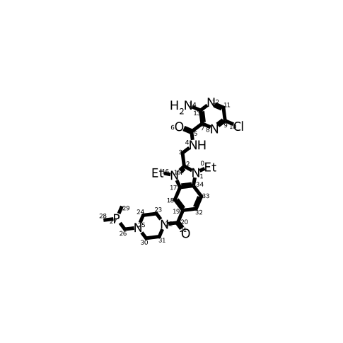 CCn1c(CNC(=O)c2nc(Cl)cnc2N)[n+](CC)c2cc(C(=O)N3CCN(CP(C)C)CC3)ccc21